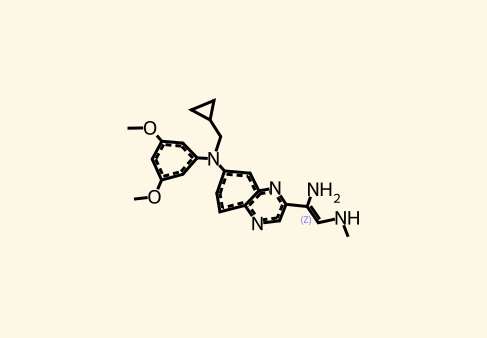 CN/C=C(\N)c1cnc2ccc(N(CC3CC3)c3cc(OC)cc(OC)c3)cc2n1